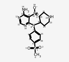 CS(=O)(=O)c1ccc(N(c2ncnc(N)c2[N+](=O)[O-])C2CCNCC2)cc1